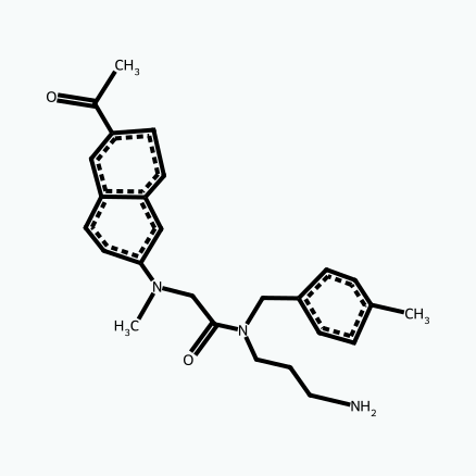 CC(=O)c1ccc2cc(N(C)CC(=O)N(CCCN)Cc3ccc(C)cc3)ccc2c1